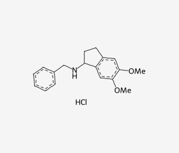 COc1cc2c(cc1OC)C(NCc1ccccc1)CC2.Cl